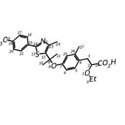 CCOC(Cc1ccc(OC(C)(C)c2sc(-c3ccc(C(F)(F)F)cc3)nc2C)cc1C)C(=O)O